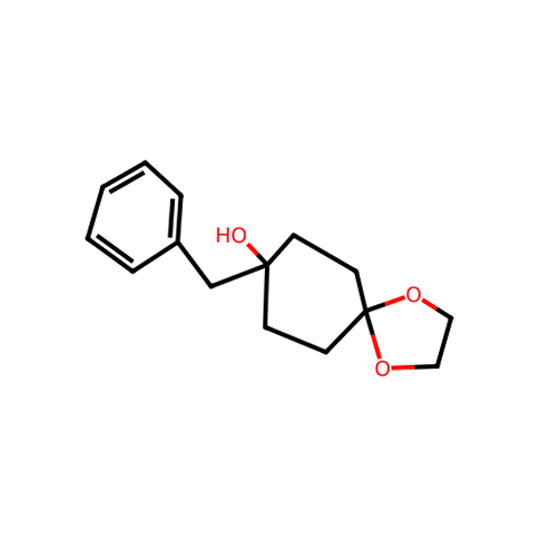 OC1(Cc2ccccc2)CCC2(CC1)OCCO2